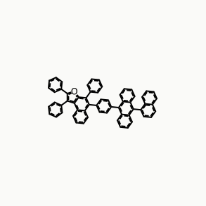 c1ccc(-c2oc3c(-c4ccccc4)c(-c4ccc(-c5c6ccccc6c(-c6cccc7ccccc67)c6ccccc56)cc4)c4ccccc4c3c2-c2ccccc2)cc1